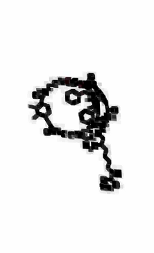 Cc1c2ccc(c1C)C(=O)NCCN1CCNC(=O)c3ccc(c(C)c3C)C(=O)NCCN(CCNC2=O)CCNC(=O)c2ccc(c(OCc3ccccc3)c2OCc2ccccc2)C(=O)NCCN(CC(N)CCCCNC(=O)OC(C)(C)C)CC1